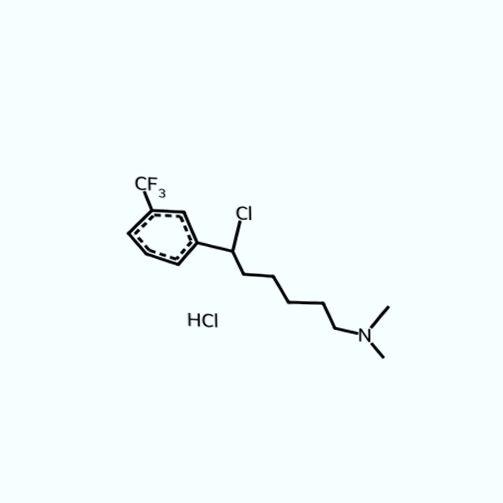 CN(C)CCCCCC(Cl)c1cccc(C(F)(F)F)c1.Cl